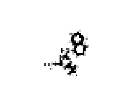 CC(C)(F)c1nc(N)nc(N[C@H]2CCCc3ccccc32)n1